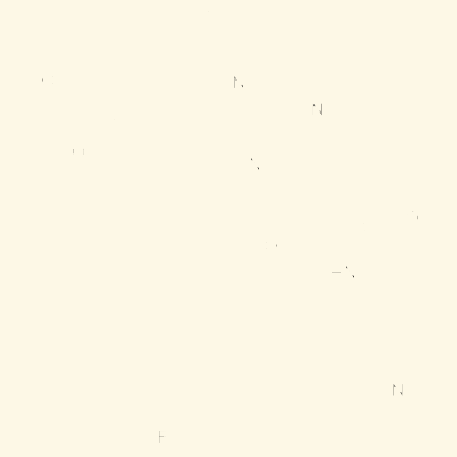 O=C(NCc1ccccn1)c1cnc(N2CCc3cc4c(cc32)OCO4)nc1OCc1ccc(F)cc1